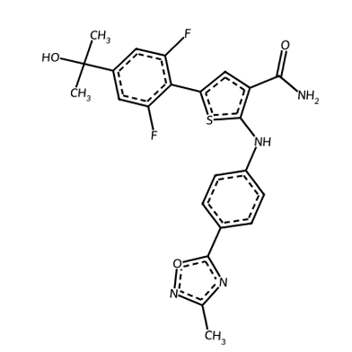 Cc1noc(-c2ccc(Nc3sc(-c4c(F)cc(C(C)(C)O)cc4F)cc3C(N)=O)cc2)n1